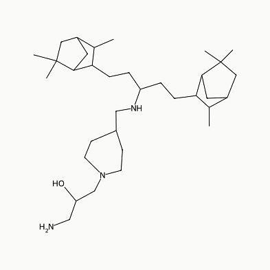 CC1C2CC(C1CCC(CCC1C(C)C3CC1C(C)(C)C3)NCC1CCN(CC(O)CN)CC1)C(C)(C)C2